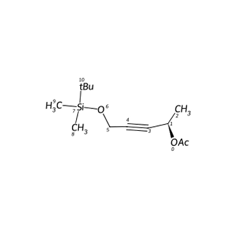 CC(=O)O[C@H](C)C#CCO[Si](C)(C)C(C)(C)C